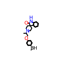 CBc1ccc(OCC(C)N2CCC3(CC2)C(=O)Nc2ccccc23)cc1